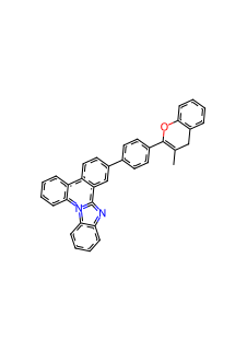 CC1=C(c2ccc(-c3ccc4c5ccccc5n5c6ccccc6nc5c4c3)cc2)Oc2ccccc2C1